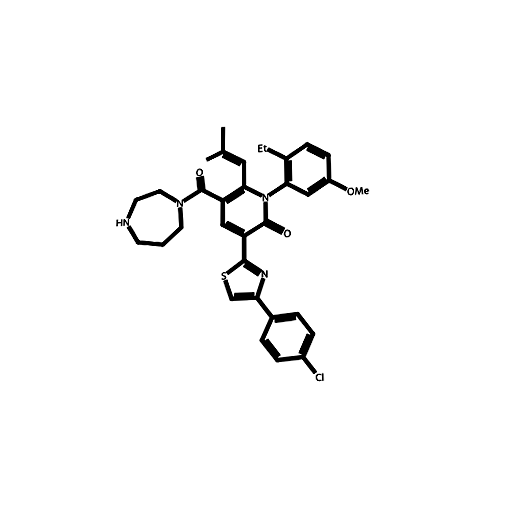 CCc1ccc(OC)cc1-n1c(C=C(C)C)c(C(=O)N2CCCNCC2)cc(-c2nc(-c3ccc(Cl)cc3)cs2)c1=O